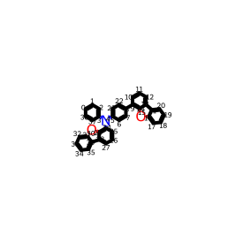 c1ccc(N(c2ccc(-c3cccc4c3oc3ccccc34)cc2)c2cccc3c2oc2ccccc23)cc1